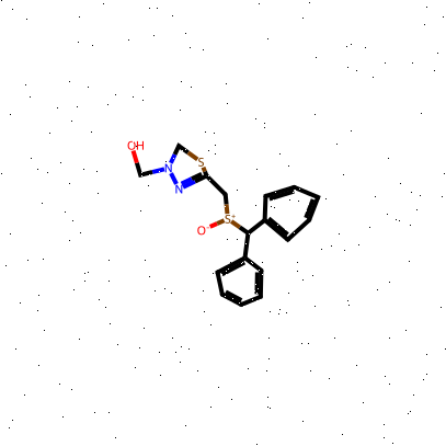 [O-][S+](CC1=NN(CO)CS1)C(c1ccccc1)c1ccccc1